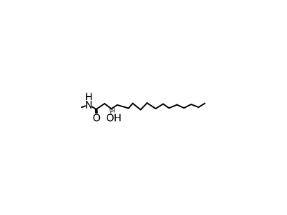 CCCCCCCCCCCCC[C@H](O)CC(=O)NC